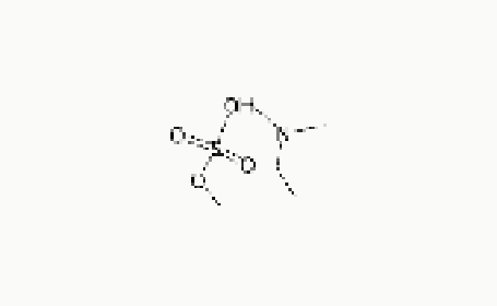 CCN(C)C.COS(=O)(=O)O